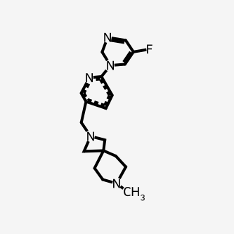 CN1CCC2(CC1)CN(Cc1ccc(N3C=C(F)C=NC3)nc1)C2